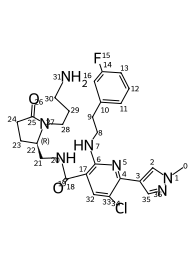 Cn1cc(-c2nc(NCCc3cccc(F)c3)c(C(=O)NC[C@H]3CCC(=O)N3CCCN)cc2Cl)cn1